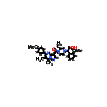 COc1ccc(-c2nc3c(C(=O)N4CCN(C(CO)c5ccccc5OC)C[C@H]4C)cnn3c(C(F)(F)F)c2C)cc1